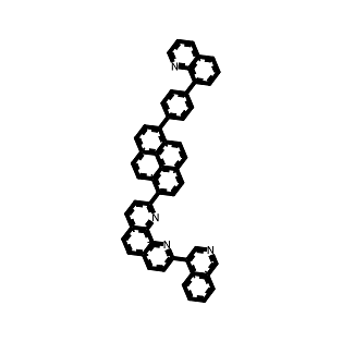 c1ccc2c(-c3ccc4ccc5ccc(-c6ccc7ccc8c(-c9ccc(-c%10cccc%11cccnc%10%11)cc9)ccc9ccc6c7c98)nc5c4n3)cncc2c1